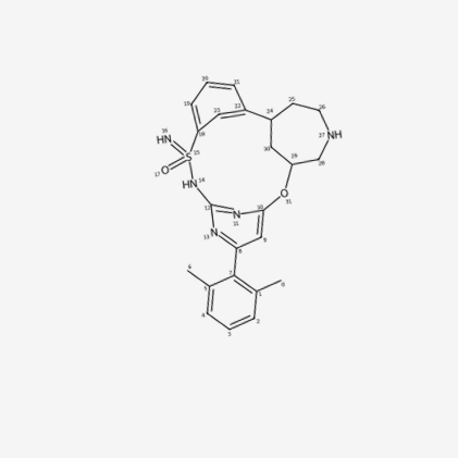 Cc1cccc(C)c1-c1cc2nc(n1)NS(=N)(=O)c1cccc(c1)C1CCNCC(C1)O2